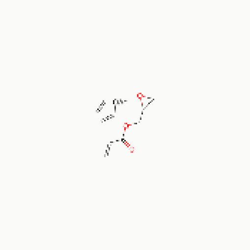 C=C.C=CC(=O)OCC1CO1.C=COC(C)=O